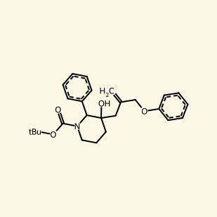 C=C(COc1ccccc1)CC1(O)CCCN(C(=O)OC(C)(C)C)C1c1ccccc1